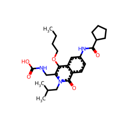 CCCCOc1c(CNC(=O)O)n(CC(C)C)c(=O)c2ccc(NC(=O)C3CCCC3)cc12